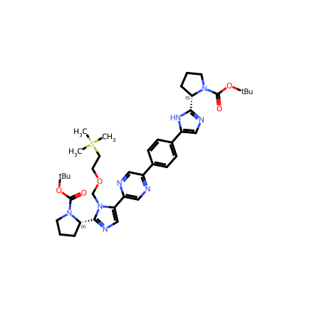 CC(C)(C)OC(=O)N1CCC[C@H]1c1ncc(-c2ccc(-c3cnc(-c4cnc([C@@H]5CCCN5C(=O)OC(C)(C)C)n4COCCS(C)(C)C)cn3)cc2)[nH]1